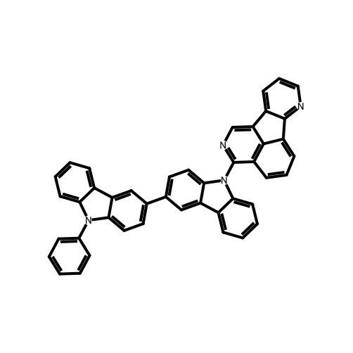 c1ccc(-n2c3ccccc3c3cc(-c4ccc5c(c4)c4ccccc4n5-c4ncc5c6c(cccc46)-c4ncccc4-5)ccc32)cc1